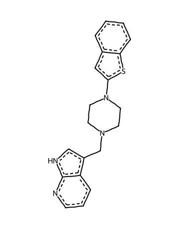 c1ccc2sc(N3CCN(Cc4c[nH]c5ncccc45)CC3)cc2c1